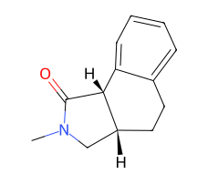 CN1C[C@H]2CCc3ccccc3[C@H]2C1=O